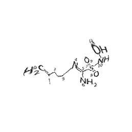 C=CCC/N=C(\N)S(=O)(=O)NO